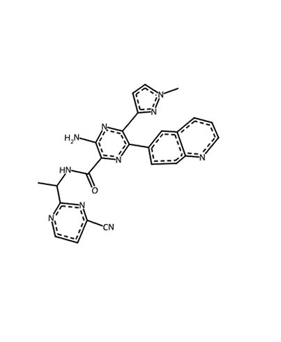 CC(NC(=O)c1nc(-c2ccc3ncccc3c2)c(-c2ccn(C)n2)nc1N)c1nccc(C#N)n1